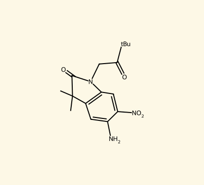 CC(C)(C)C(=O)CN1C(=O)C(C)(C)c2cc(N)c([N+](=O)[O-])cc21